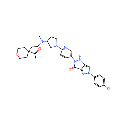 CC(=O)C1(CCN(C)C2CCN(c3ccc(-n4[nH]c5cn(-c6ccc(Cl)cc6)nc5c4=O)cn3)C2)CCOCC1